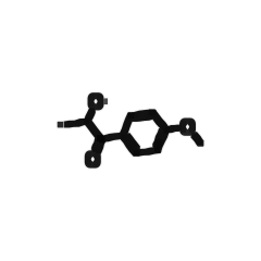 [CH2]C([O])C(=O)c1ccc(OC)cc1